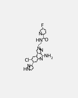 Nc1nc2cc(-c3cc[nH]n3)c(Cl)cc2c2cn(CCNC(=O)c3ccc(F)cn3)nc12